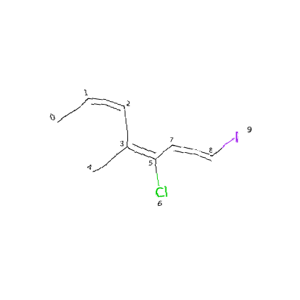 C\C=C/C(C)=C(Cl)\C=C\I